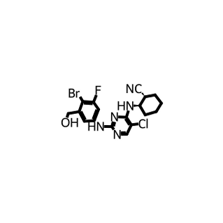 N#C[C@@H]1CCCC[C@H]1Nc1nc(Nc2cc(F)c(Br)c(CO)c2)ncc1Cl